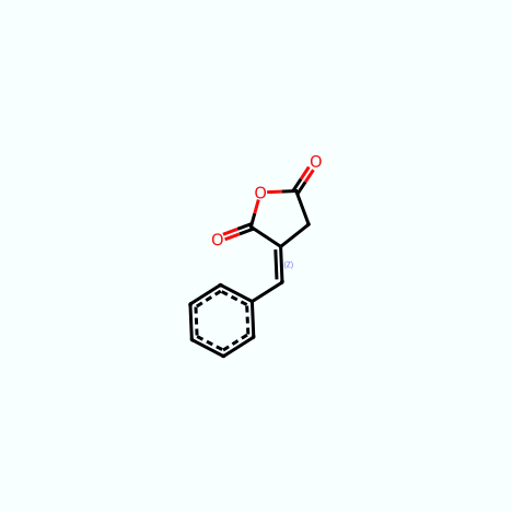 O=C1C/C(=C/c2ccccc2)C(=O)O1